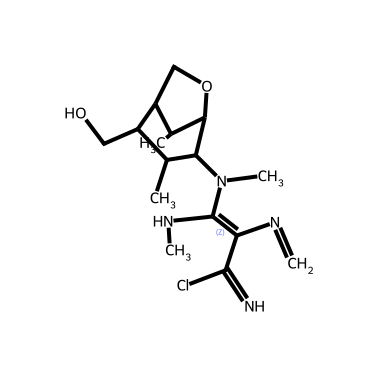 C=N/C(C(=N)Cl)=C(/NC)N(C)C1C(C)C(CO)C2COC1C2C